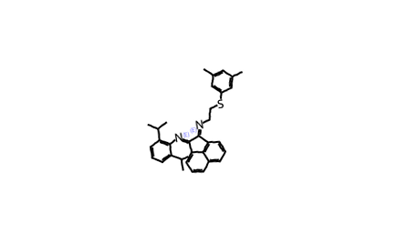 Cc1cc(C)cc(SCC/N=C2/C(=N/c3c(C(C)C)cccc3C(C)C)c3cccc4cccc2c34)c1